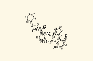 O=C(NCCc1ccccc1)n1cnc2ccc(N3CCCC3c3cc(F)ccc3F)nc21